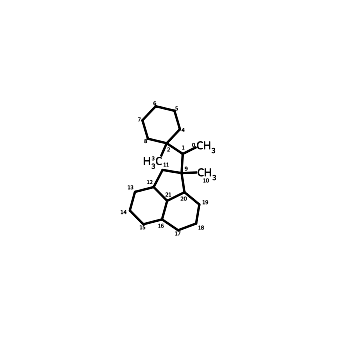 CC(C1(C)CCCCC1)C1(C)CC2CCCC3CCCC1C32